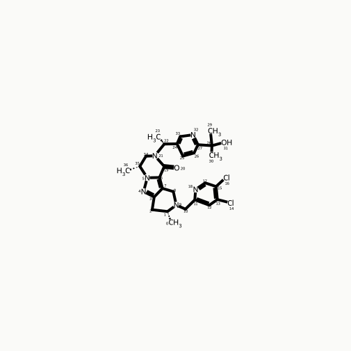 C[C@@H]1Cc2nn3c(c2CN1Cc1cc(Cl)c(Cl)cn1)C(=O)N([C@H](C)c1ccc(C(C)(C)O)nc1)C[C@H]3C